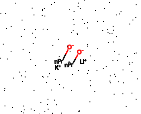 CCC[O-].CCC[O-].[K+].[Li+]